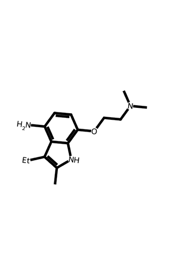 CCc1c(C)[nH]c2c(OCCN(C)C)ccc(N)c12